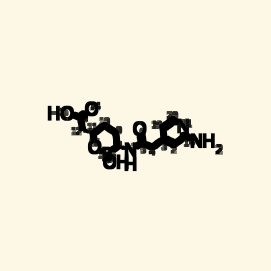 Nc1cc(CC(=O)N[C@H]2CC[C@@H](CC(=O)O)OB2O)ccn1